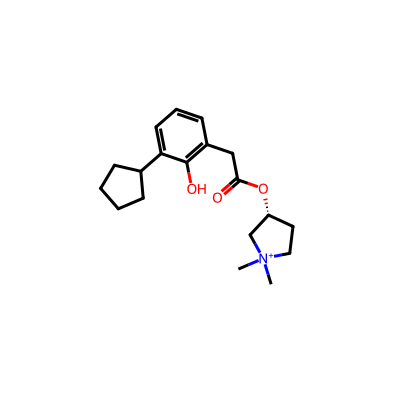 C[N+]1(C)CC[C@@H](OC(=O)Cc2cccc(C3CCCC3)c2O)C1